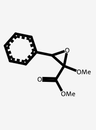 COC(=O)C1(OC)OC1c1ccccc1